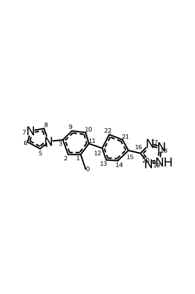 Cc1cc(-n2ccnc2)ccc1-c1ccc(-c2nn[nH]n2)cc1